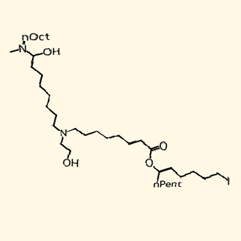 CCCCCCCCN(C)C(O)CCCCCCCN(CCO)CCCCCCCC(=O)OC(CCCCC)CCCCCI